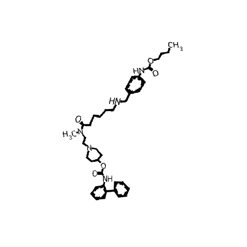 CCCCOC(=O)Nc1ccc(CNCCCCCC(=O)N(C)CCN2CCC(OC(=O)Nc3ccccc3-c3ccccc3)CC2)cc1